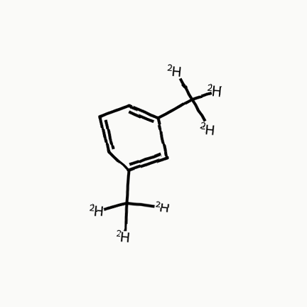 [2H]C([2H])([2H])c1cccc(C([2H])([2H])[2H])c1